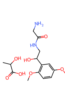 CC(O)C(=O)O.COc1ccc(OC)c(C(O)CNC(=O)CN)c1